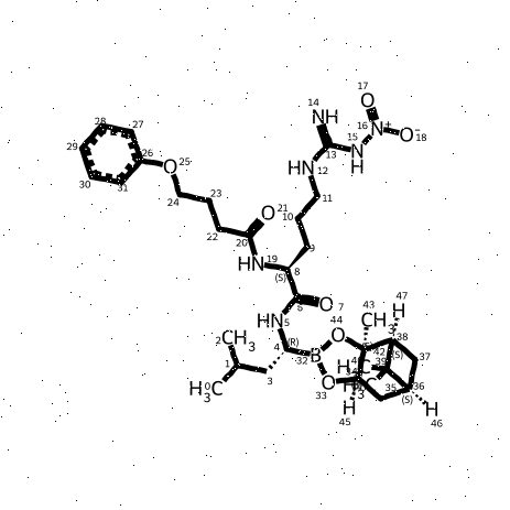 CC(C)C[C@H](NC(=O)[C@H](CCCNC(=N)N[N+](=O)[O-])NC(=O)CCCOc1ccccc1)B1O[C@@H]2C[C@@H]3C[C@@H](C3(C)C)[C@]2(C)O1